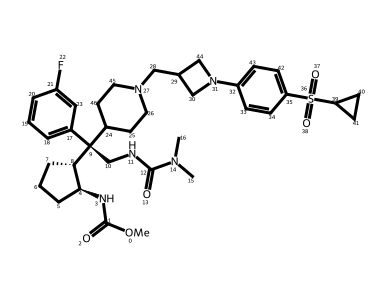 COC(=O)N[C@H]1CCC[C@@H]1[C@](CNC(=O)N(C)C)(c1cccc(F)c1)C1CCN(CC2CN(c3ccc(S(=O)(=O)C4CC4)cc3)C2)CC1